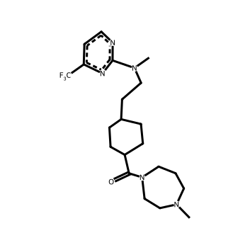 CN1CCCN(C(=O)C2CCC(CCN(C)c3nccc(C(F)(F)F)n3)CC2)CC1